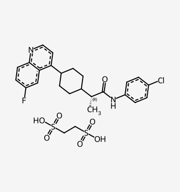 C[C@@H](C(=O)Nc1ccc(Cl)cc1)C1CCC(c2ccnc3ccc(F)cc23)CC1.O=S(=O)(O)CCS(=O)(=O)O